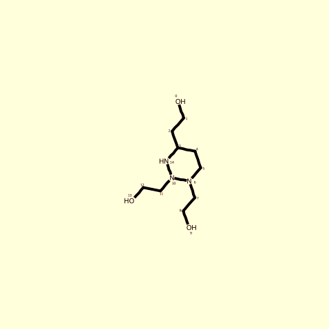 OCCC1CCN(CCO)N(CCO)N1